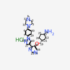 CN1CCN(c2ccc(-n3cc(-c4ncncc4OC[C@H]4CC[C@@H](N)CC4)cn3)cc2)CC1.Cl